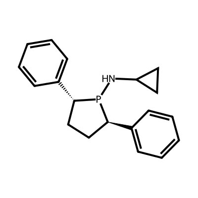 c1ccc([C@H]2CC[C@H](c3ccccc3)P2NC2CC2)cc1